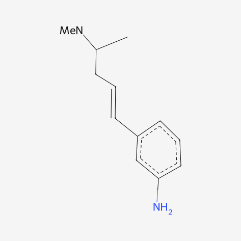 CNC(C)CC=Cc1cccc(N)c1